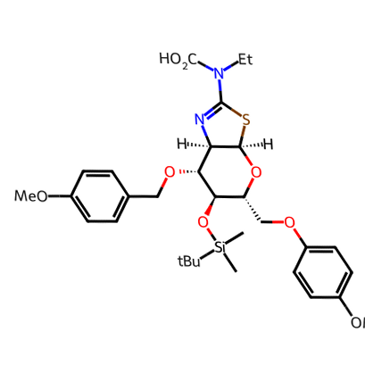 CCN(C(=O)O)C1=N[C@@H]2[C@@H](OCc3ccc(OC)cc3)[C@H](O[Si](C)(C)C(C)(C)C)[C@@H](COc3ccc(OC)cc3)O[C@@H]2S1